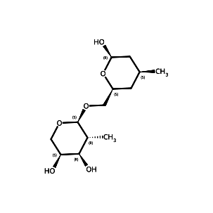 C[C@H]1C[C@@H](CO[C@@H]2OC[C@H](O)[C@H](O)[C@H]2C)O[C@@H](O)C1